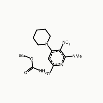 CC(C)(C)OC(N)=O.CNc1nc(Cl)cc(N2CCCCC2)c1[N+](=O)[O-]